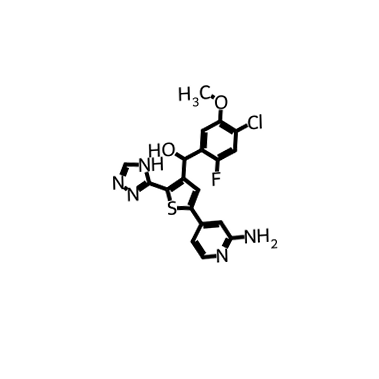 COc1cc(C(O)c2cc(-c3ccnc(N)c3)sc2-c2nnc[nH]2)c(F)cc1Cl